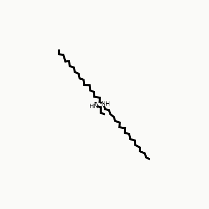 CCCCCCCCCCCCCCCCCCNCCCCCCCCCCCCCCCCCC.CCCNC